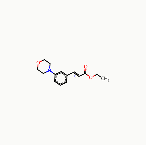 CCOC(=O)/C=C/c1cccc(N2CCOCC2)c1